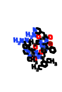 CC[C@@H](NC(=O)N1C(=O)[C@H](Cc2ccnc(N)c2)[C@H]1C(=O)N(C)c1ccn(CCC[C@@H](NC(=O)N2C(=O)[C@H](Cc3ccnc(N)c3)[C@H]2C(=O)N(C)c2ccn(C)n2)c2cc(C)ccc2C)n1)c1ccccc1F